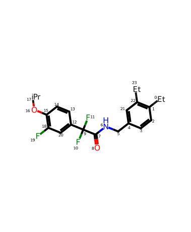 CCc1ccc(CNC(=O)C(F)(F)c2ccc(OC(C)C)c(F)c2)cc1CC